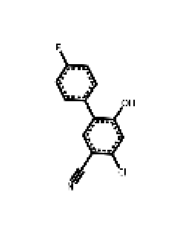 N#Cc1cc(-c2ccc(F)cc2)c(O)cc1Cl